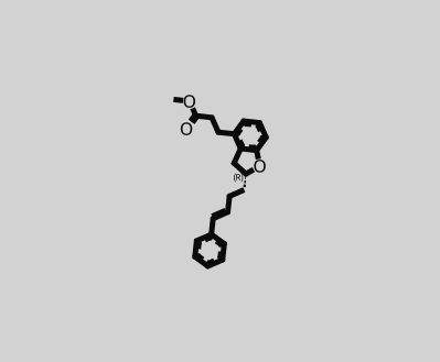 COC(=O)CCc1cccc2c1C[C@@H](CCC=Cc1ccccc1)O2